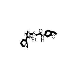 CCn1c(SCC(=O)Nc2ccc3ccoc3c2)nnc1-c1cccnc1